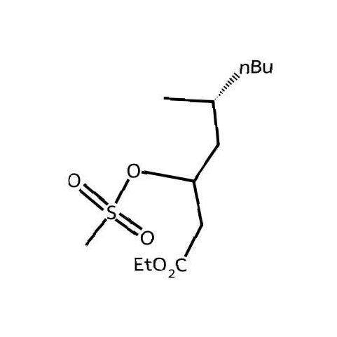 CCCC[C@@H](C)CC(CC(=O)OCC)OS(C)(=O)=O